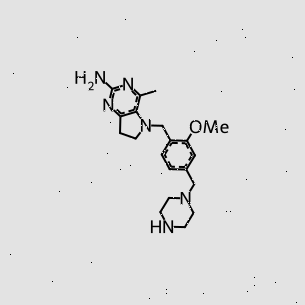 COc1cc(CN2CCNCC2)ccc1CN1CCc2nc(N)nc(C)c21